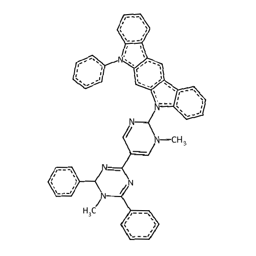 CN1C=C(C2=NC(c3ccccc3)N(C)C(c3ccccc3)=N2)C=NC1n1c2ccccc2c2cc3c4ccccc4n(-c4ccccc4)c3cc21